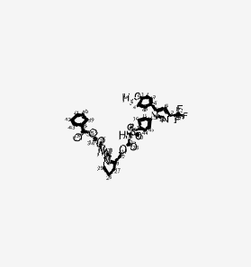 Cc1ccc(-c2cc(C(F)(F)F)nn2-c2ccc(S(=O)(=O)NC(=O)OCC3CCCN3N=NOCOC(=O)c3ccccc3)cc2)cc1